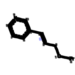 CC(C)OC/C=C/c1cccnc1